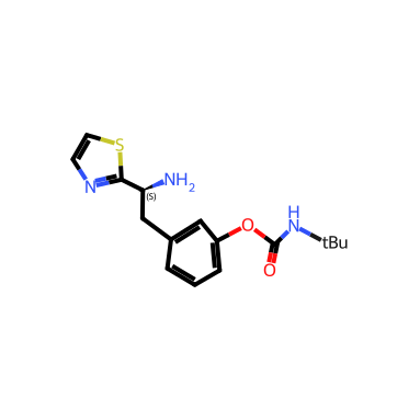 CC(C)(C)NC(=O)Oc1cccc(C[C@H](N)c2nccs2)c1